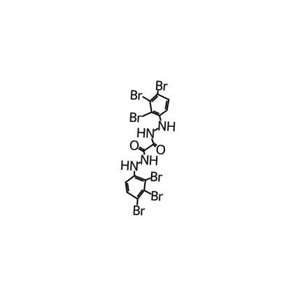 O=C(NNc1ccc(Br)c(Br)c1Br)C(=O)NNc1ccc(Br)c(Br)c1Br